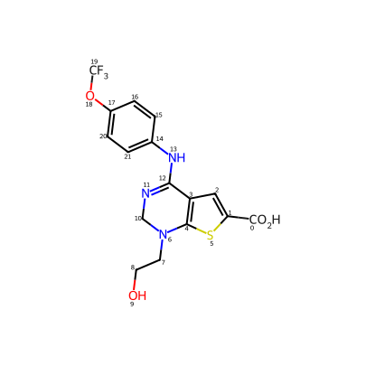 O=C(O)c1cc2c(s1)N(CCO)CN=C2Nc1ccc(OC(F)(F)F)cc1